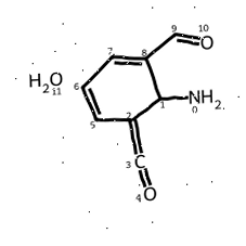 NC1C(=C=O)C=CC=C1C=O.O